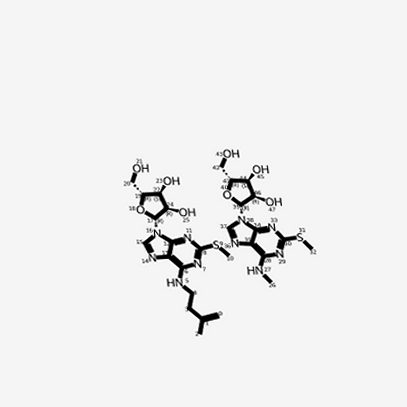 C=C(C)CCNc1nc(SC)nc2c1ncn2[C@@H]1O[C@H](CO)[C@@H](O)[C@H]1O.CNc1nc(SC)nc2c1ncn2[C@@H]1O[C@H](CO)[C@@H](O)[C@H]1O